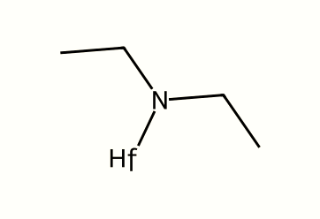 CC[N]([Hf])CC